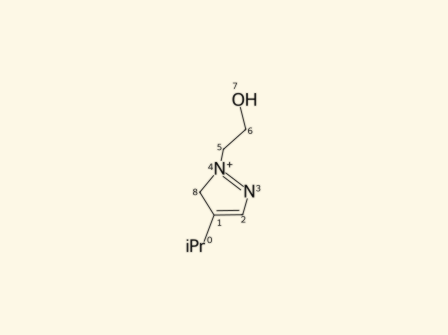 CC(C)C1=CN=[N+](CCO)C1